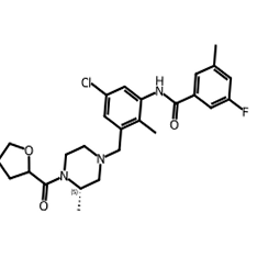 Cc1cc(F)cc(C(=O)Nc2cc(Cl)cc(CN3CCN(C(=O)C4CCCO4)[C@@H](C)C3)c2C)c1